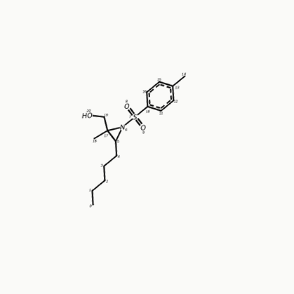 CCCCCC1N(S(=O)(=O)c2ccc(C)cc2)C1(C)CO